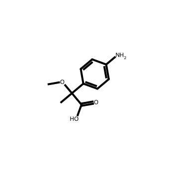 COC(C)(C(=O)O)c1ccc(N)cc1